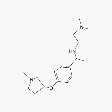 CC(NCCN(C)C)c1ccc(OC2CCN(C)C2)cc1